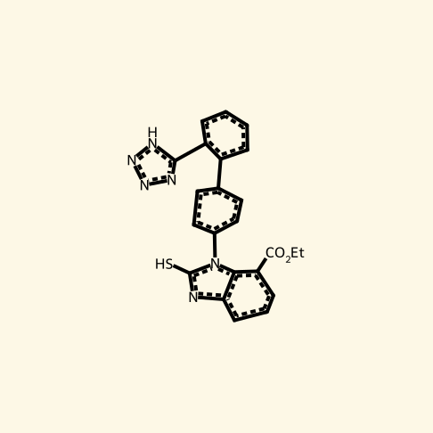 CCOC(=O)c1cccc2nc(S)n(-c3ccc(-c4ccccc4-c4nnn[nH]4)cc3)c12